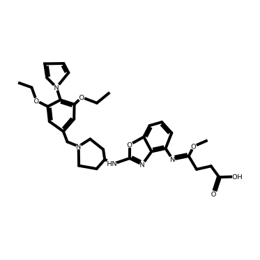 CCOc1cc(CN2CCC(Nc3nc4c(N=C(CCC(=O)O)OC)cccc4o3)CC2)cc(OCC)c1-n1cccc1